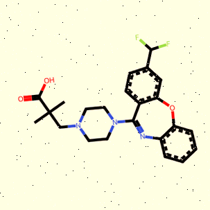 CC(C)(CN1CCN(C2=Nc3ccccc3Oc3cc(C(F)F)ccc32)CC1)C(=O)O